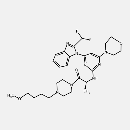 COCCCCN1CCN(C(=O)[C@H](C)Nc2nc(N3CCOCC3)cc(-n3c(C(F)F)nc4ccccc43)n2)CC1